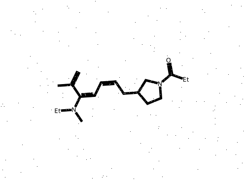 C=C(C)/C(=C\C=C/CC1CCN(C(=O)CC)C1)N(C)CC